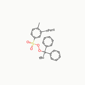 CCCCCc1cc(S(=O)(=O)OO[Si](c2ccccc2)(c2ccccc2)C(C)(C)C)ccc1C